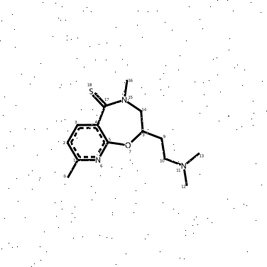 Cc1ccc2c(n1)OC(CCN(C)C)CN(C)C2=S